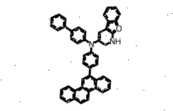 C1=C(N(c2ccc(-c3ccccc3)cc2)c2ccc(-c3cc4c5ccccc5ccc4c4ccccc34)cc2)CNc2oc3ccccc3c21